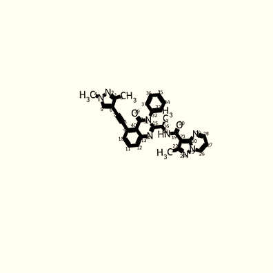 Cc1nn(C)cc1C#Cc1cccc2nc([C@@H](C)NC(=O)c3c(C)nn4cccnc34)n(-c3ccccc3)c(=O)c12